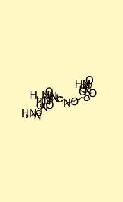 CN(CCOCCCc1cccc2c1C(=O)N(C1CCC(=O)NC1=O)C2=O)Cc1ccc(-n2cc(NC(=O)c3coc(-c4ccnc(NCC5CC5)c4)n3)c(C(N)=O)n2)cc1